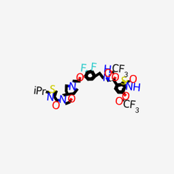 CC(C)c1nc(C(=O)N2CCOC3(CCN(CCOc4ccc(CCNC[C@H](OC(=O)C(F)(F)F)c5ccc(OC(=O)C(F)(F)F)c6[nH]c(=O)sc56)c(F)c4F)CC3)C2)cs1